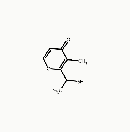 Cc1c(C(C)S)occc1=O